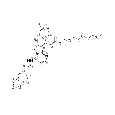 COCCOCCOCCNCc1c2c(nc3sc4c(NCCc5ccc6[nH]cnc6c5)ncnc4c13)CC(C)(C)OC2